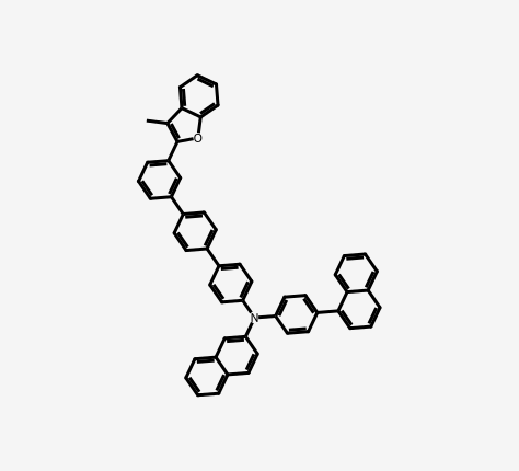 Cc1c(-c2cccc(-c3ccc(-c4ccc(N(c5ccc(-c6cccc7ccccc67)cc5)c5ccc6ccccc6c5)cc4)cc3)c2)oc2ccccc12